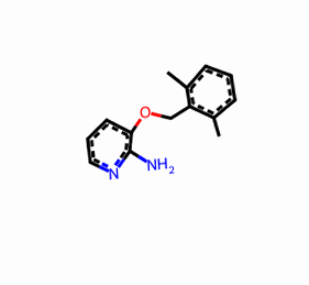 Cc1cccc(C)c1COc1cccnc1N